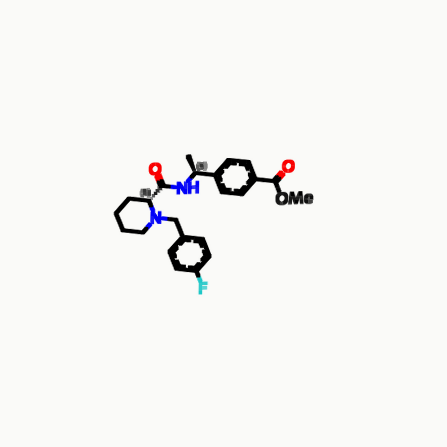 COC(=O)c1ccc([C@H](C)NC(=O)[C@H]2CCCCN2Cc2ccc(F)cc2)cc1